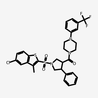 Cc1c(S(=O)(=O)N2CC(C(=O)N3CCN(c4cccc(C(F)(F)F)c4)CC3)C(c3ccccc3)C2)sc2ccc(Cl)cc12